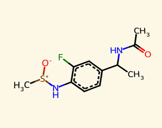 CC(=O)NC(C)c1ccc(N[S+](C)[O-])c(F)c1